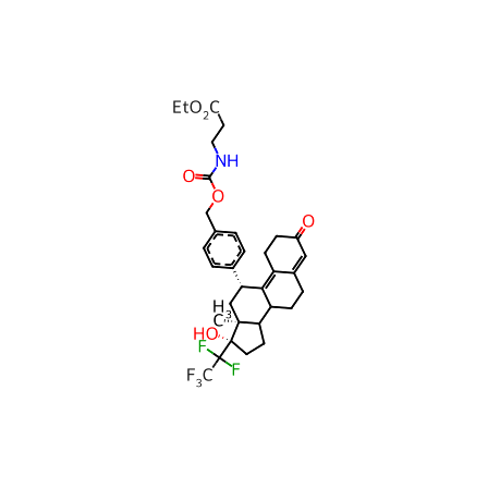 CCOC(=O)CCNC(=O)OCc1ccc([C@H]2C[C@@]3(C)C(CC[C@@]3(O)C(F)(F)C(F)(F)F)C3CCC4=CC(=O)CCC4=C32)cc1